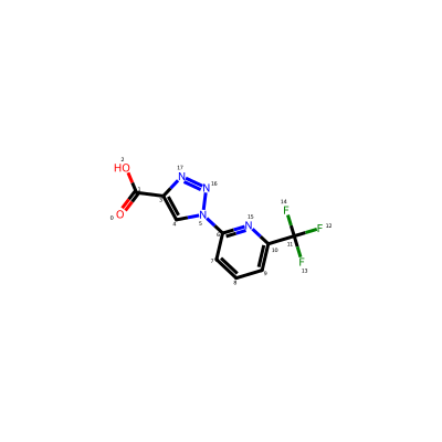 O=C(O)c1cn(-c2cccc(C(F)(F)F)n2)nn1